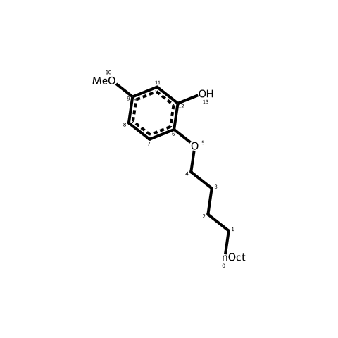 CCCCCCCCCCCCOc1ccc(OC)cc1O